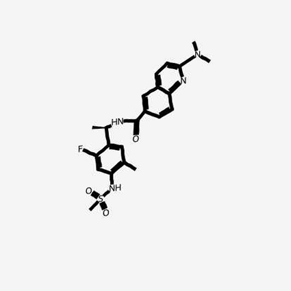 Cc1cc([C@@H](C)NC(=O)c2ccc3nc(N(C)C)ccc3c2)c(F)cc1NS(C)(=O)=O